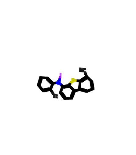 CCc1ccccc1N(I)c1cccc2c1sc1c(C#N)cccc12